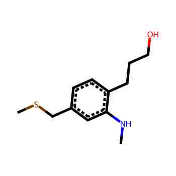 CNc1cc(CSC)ccc1CCCO